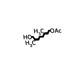 CC(=O)OC/C=C(\C)CCC=C(C)CO